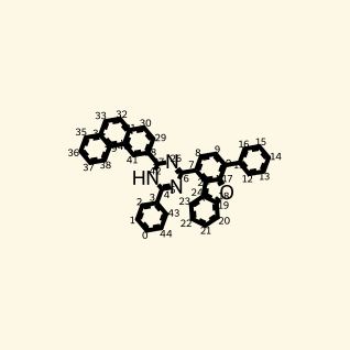 c1ccc(C2=NC(c3ccc(-c4ccccc4)c4oc5ccccc5c34)=NC(c3ccc4ccc5ccccc5c4c3)N2)cc1